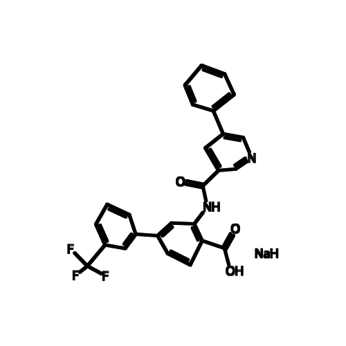 O=C(Nc1cc(-c2cccc(C(F)(F)F)c2)ccc1C(=O)O)c1cncc(-c2ccccc2)c1.[NaH]